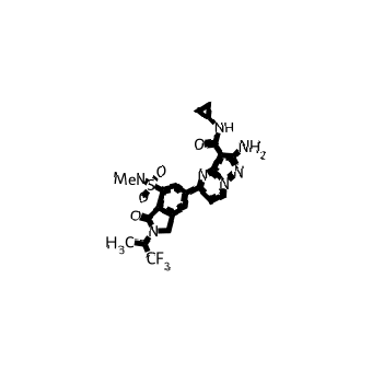 CNS(=O)(=O)c1cc(-c2ccn3nc(N)c(C(=O)NC4CC4)c3n2)cc2c1C(=O)N(C(C)C(F)(F)F)C2